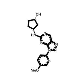 COc1ccc(-n2nnc3cnc(N[C@H]4CC[C@H](O)C4)nc32)nc1